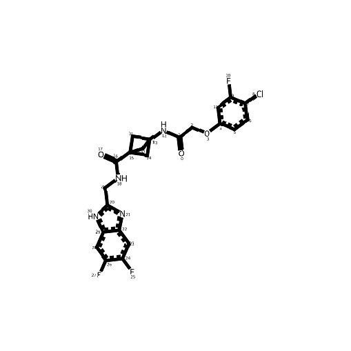 O=C(COc1ccc(Cl)c(F)c1)NC12CC(C(=O)NCc3nc4cc(F)c(F)cc4[nH]3)(C1)C2